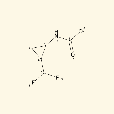 [O]C(=O)NC1CC1C(F)F